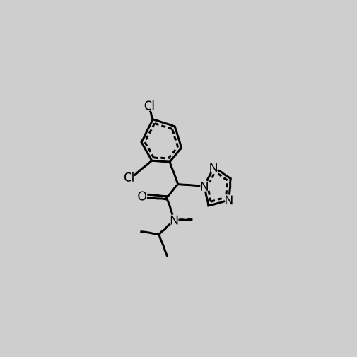 CC(C)N(C)C(=O)C(c1ccc(Cl)cc1Cl)n1cncn1